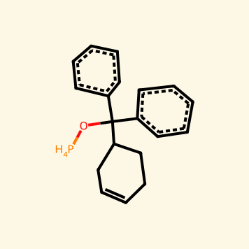 [PH4]OC(c1ccccc1)(c1ccccc1)C1CC=CCC1